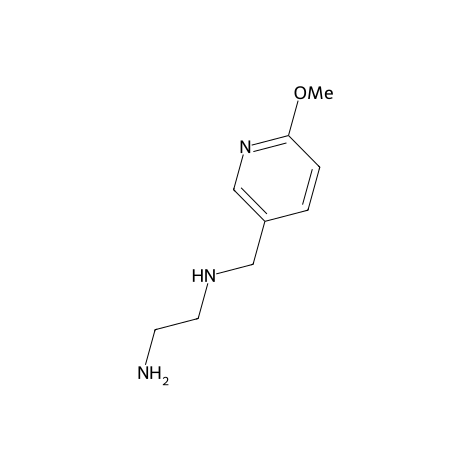 COc1ccc(CNCCN)cn1